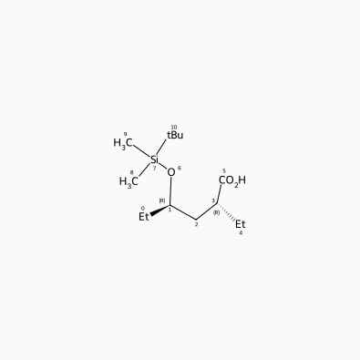 CC[C@H](C[C@@H](CC)C(=O)O)O[Si](C)(C)C(C)(C)C